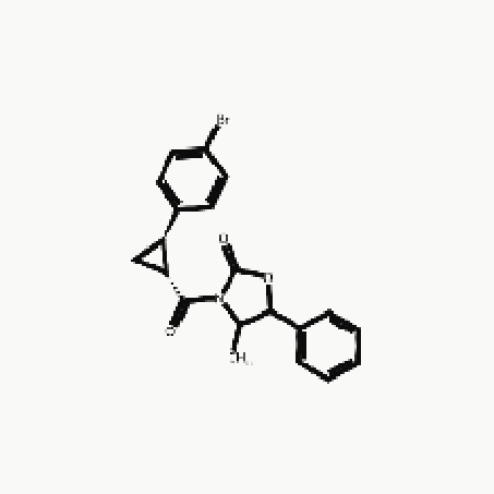 CC1C(c2ccccc2)OC(=O)N1C(=O)[C@@H]1C[C@H]1c1ccc(Br)cc1